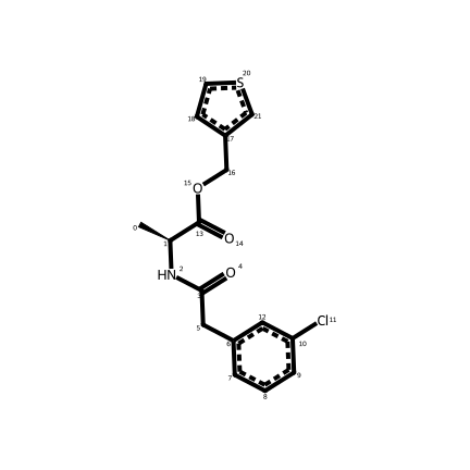 C[C@H](NC(=O)Cc1cccc(Cl)c1)C(=O)OCc1ccsc1